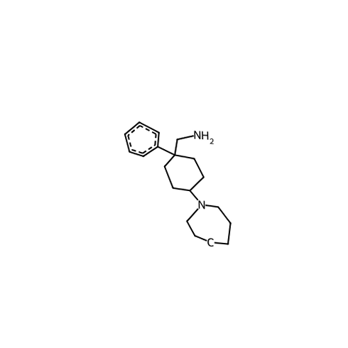 NCC1(c2ccccc2)CCC(N2CCCCCC2)CC1